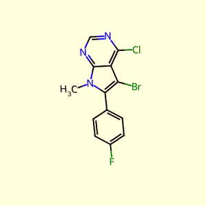 Cn1c(-c2ccc(F)cc2)c(Br)c2c(Cl)ncnc21